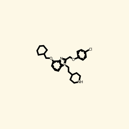 Clc1ccc(OCc2nc3c(OCC4CCCCC4)cccc3n2CCC2CCNCC2)cc1